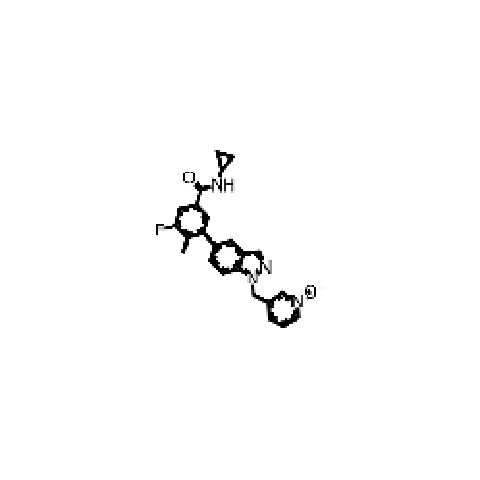 Cc1c(F)cc(C(=O)NC2CC2)cc1-c1ccc2c(cnn2Cc2ccc[n+]([O-])c2)c1